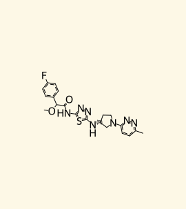 COC(C(=O)Nc1nnc(N[C@@H]2CCN(c3ccc(C)nn3)C2)s1)c1ccc(F)cc1